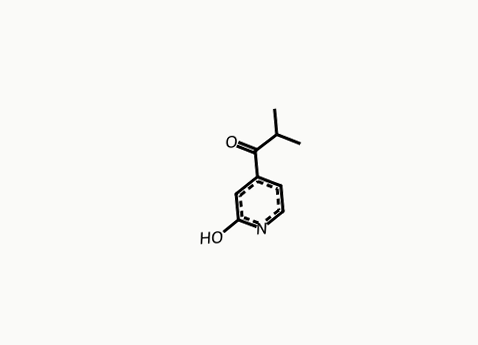 CC(C)C(=O)c1ccnc(O)c1